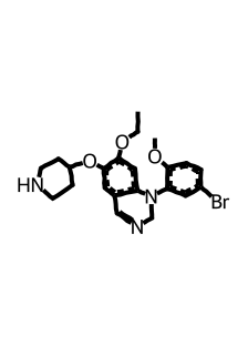 CCOc1cc2c(cc1OC1CCNCC1)C=NCN2c1cc(Br)ccc1OC